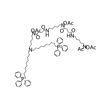 CC(=O)ON(CCCCCNC(=O)CCC(=O)N(CCCCCNC(=O)CCC(=O)N(CCCCCN(CCCCCCCCCC[P+](c1ccccc1)(c1ccccc1)c1ccccc1)CCCCCCCCCC[P+](c1ccccc1)(c1ccccc1)c1ccccc1)OC(C)=O)OC(C)=O)C(C)=O